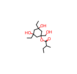 CCC(C)C(=O)OC1(CO)CC(O)(CC)CC(O)(CC)C1